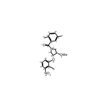 CO[C@@H]1CN(C(=O)c2cc(C)ccc2C)C[C@H]1Oc1cccc([N+](=O)[O-])c1C